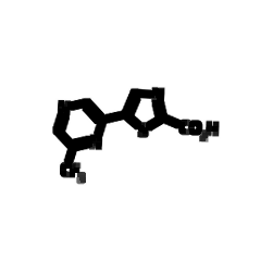 O=C(O)c1ncc(-c2cncc(C(F)(F)F)n2)s1